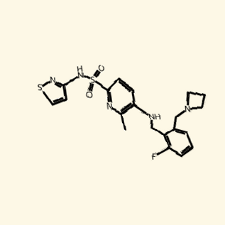 Cc1nc(S(=O)(=O)Nc2ccsn2)ccc1NCc1c(F)cccc1CN1CCC1